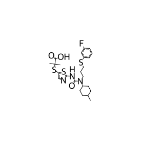 CC1CCC(N(CCCSc2cccc(F)c2)C(=O)Nc2ncc(SC(C)(C)C(=O)O)s2)CC1